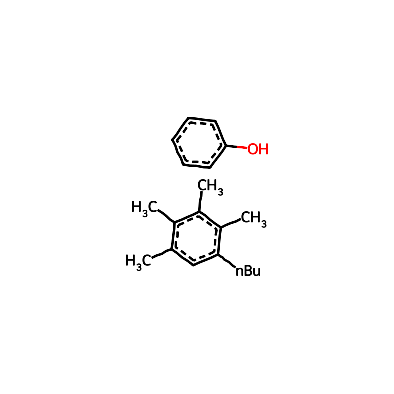 CCCCc1cc(C)c(C)c(C)c1C.Oc1ccccc1